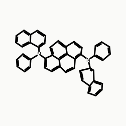 c1ccc(N(c2ccc3ccccc3c2)c2ccc3ccc4c(N(c5ccccc5)c5cccc6ccccc56)ccc5ccc2c3c54)cc1